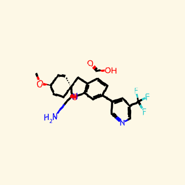 CO[C@H]1CC[C@]2(CC1)Cc1ccc(-c3cncc(C(F)(F)F)c3)cc1C21COC(N)=N1.O=CO